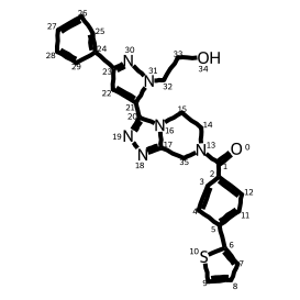 O=C(c1ccc(-c2cccs2)cc1)N1CCn2c(nnc2-c2cc(-c3ccccc3)nn2CCO)C1